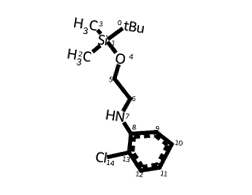 CC(C)(C)[Si](C)(C)OCCNc1ccccc1Cl